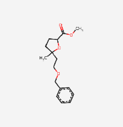 COC(=O)C1CCC(C)(CCOCc2ccccc2)O1